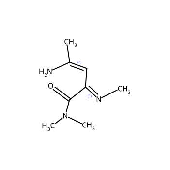 C/N=C(\C=C(\C)N)C(=O)N(C)C